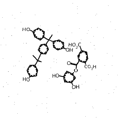 CC(C)(c1ccc(O)cc1)c1ccc(C(C)(c2ccc(O)cc2)c2ccc(O)cc2)cc1.O=C(O)c1ccc(C(=O)O)c(C(=O)Oc2cc(O)cc(O)c2)c1